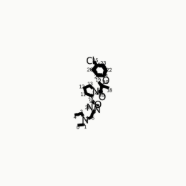 CCN(CC)Cc1noc([C@@H]2CCCN2C(=O)C(C)(C)Oc2ccc(Cl)cc2)n1